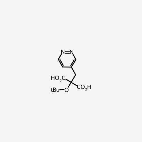 CC(C)(C)OC(Cc1ccnnc1)(C(=O)O)C(=O)O